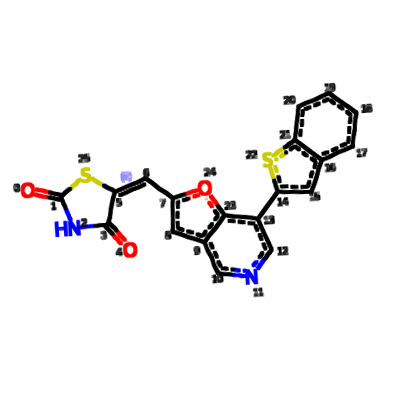 O=C1NC(=O)/C(=C\c2cc3cncc(-c4cc5ccccc5s4)c3o2)S1